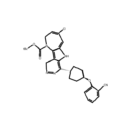 CC(C)(C)OC(=O)N1CC=C(Cl)C=c2[nH]c3c(c21)CN=NC=3[C@H]1CC[C@H](Oc2ccccc2C#N)CC1